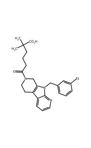 CCc1cccc(Cn2c3c(c4cccnc42)CCN(C(=O)CCCC(C)(C)C(=O)O)C3)c1